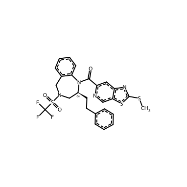 CSc1nc2cc(C(=O)N3c4ccccc4CN(S(=O)(=O)C(F)(F)F)C[C@@H]3CCc3ccccc3)ncc2s1